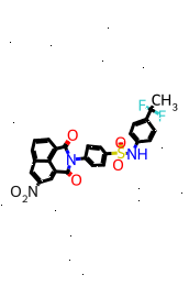 CC(F)(F)c1ccc(NS(=O)(=O)c2ccc(N3C(=O)c4cccc5cc([N+](=O)[O-])cc(c45)C3=O)cc2)cc1